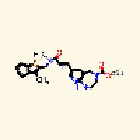 Cc1c(CN(C)C(=O)/C=C/c2cnc3c(c2)CN(C(=O)OC(C)(C)C)CCN3)sc2ccccc12